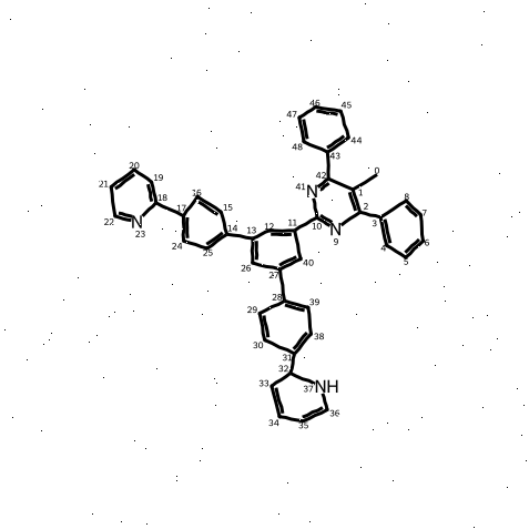 Cc1c(-c2ccccc2)nc(-c2cc(-c3ccc(-c4ccccn4)cc3)cc(-c3ccc(C4C=CC=CN4)cc3)c2)nc1-c1ccccc1